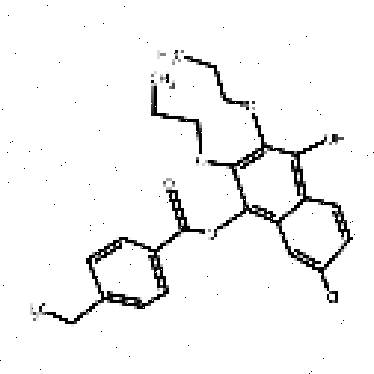 CCCOc1c(OCCC)c(OC(=O)c2ccc(CC)cc2)c2cc(Cl)ccc2c1O